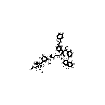 C=CC(C(F)(F)F)S(=O)(=O)NC(=O)c1cccc(NC(=O)CCCn2c(COc3ccc4ccccc4c3)c(C(=O)c3ccccc3)c3cc(OCc4ccccc4)ccc32)c1